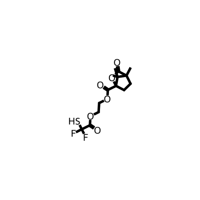 CC12CCC(C(=O)OCCOC(=O)C(F)(F)S)(OC1=O)C2(C)C